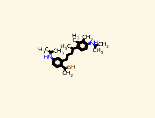 Cc1c(NC(C)C)ccc(C(C)CCCc2cc(NC(C)C)ccc2C(C)S)c1C